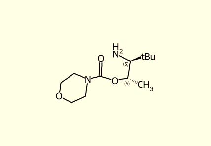 C[C@H](OC(=O)N1CCOCC1)[C@@H](N)C(C)(C)C